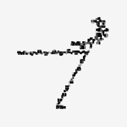 CNC(O)OCc1ccc(NC(=O)[C@H](C)NC(=O)[C@@H](NC(=O)CN2C(=O)C=CC2=O)C(C)C)cc1CCCN(CCCOCCOCCOCCOCCOCCOCCOCCOC)CCCOCCOCCOCCOCCOCCOCCOCCOC